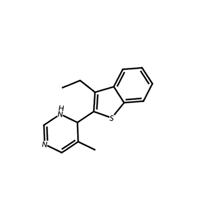 CCc1c(C2NC=NC=C2C)sc2ccccc12